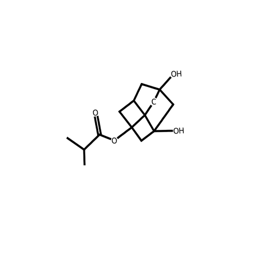 CC(C)C(=O)OC12CC3CC4(O)CC(O)(C1)C32C4